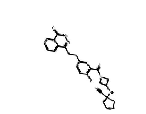 N#CC1(NC2CN(C(=O)c3cc(CCc4n[nH]c(=O)c5ccccc45)ccc3F)C2)CCCC1